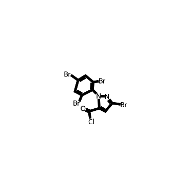 O=C(Cl)c1cc(Br)nn1-c1c(Br)cc(Br)cc1Br